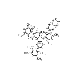 Cc1cc(C)c(C)c(-c2ccc3c(c2)c2cc(-c4c(C)c(C)cc(C)c4C)ccc2n3-c2c(C)cc(C)c(-c3cnc4nccnc4n3)c2C)c1C